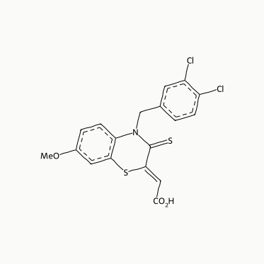 COc1ccc2c(c1)S/C(=C\C(=O)O)C(=S)N2Cc1ccc(Cl)c(Cl)c1